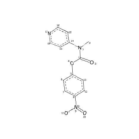 CN(C(=O)Oc1ccc([N+](=O)[O-])cc1)c1ccncc1